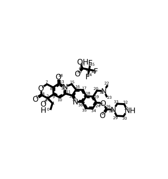 CC[C@@]1(O)C(=O)OCc2c1cc1n(c2=O)Cc2cc3c(CN(C)C)c(OC(=O)N4CCNCC4)ccc3nc2-1.O=C(O)C(F)(F)F